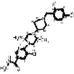 CNC(=O)c1cnc(N2C[C@H](C)N(C3CCN(Cc4ccc(Cl)cc4F)CC3)C[C@H]2C)c(Cl)c1